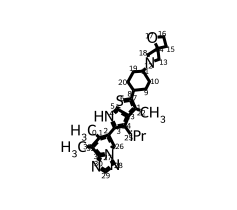 Cc1c(-c2[nH]c3sc(C4CCC(N5CC6(CCO6)C5)CC4)c(C)c3c2C(C)C)cn2ncnc2c1C